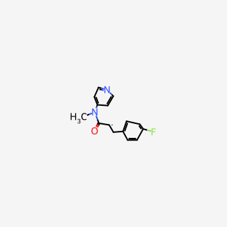 CN(C(=O)[CH]Cc1ccc(F)cc1)c1ccncc1